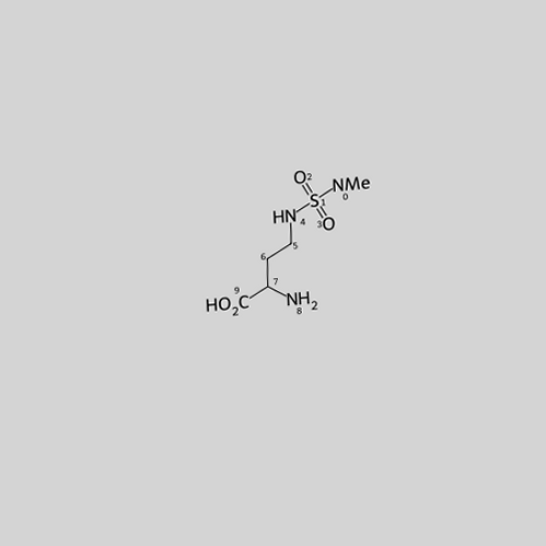 CNS(=O)(=O)NCCC(N)C(=O)O